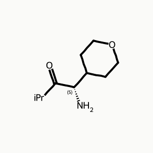 CC(C)C(=O)[C@@H](N)C1CCOCC1